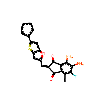 Cc1c(F)c(P)c(P)c2c1C(=O)/C(=C/c1cc3sc(-c4ccccc4)cc3o1)C2=O